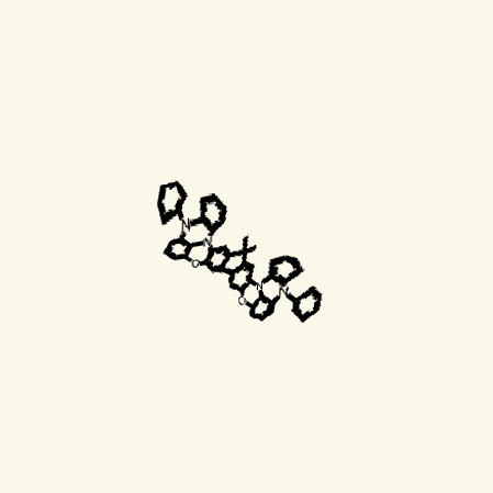 CC1(C)c2cc3c(cc2-c2cc4c(cc21)N1c2ccccc2N(c2ccccc2)c2cccc(c21)O4)Oc1cccc2c1N3c1ccccc1N2c1ccccc1